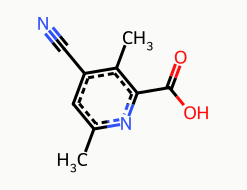 Cc1cc(C#N)c(C)c(C(=O)O)n1